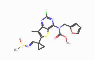 Cc1c(C2(/C=N/[S@+]([O-])C(C)(C)C)CC2)sc2c(N(Cc3ccco3)C(=O)OC(C)(C)C)nc(Cl)nc12